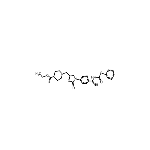 CCOC(=O)C1CCN(CC2CN(c3ccc(C(=N)NC(=O)Oc4ccccc4)cc3)C(=O)O2)CC1